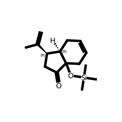 C=C(C)[C@@H]1CC(=O)C2(O[Si](C)(C)C)CC=CC[C@H]12